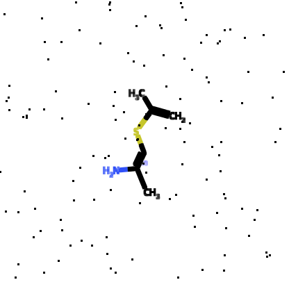 C=C(C)S/C=C(/C)N